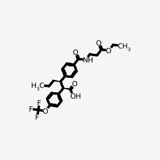 CCC[C@@H](c1ccc(C(=O)NCCC(=O)OCC)cc1)[C@@H](C(=O)O)c1ccc(OC(F)(F)F)cc1